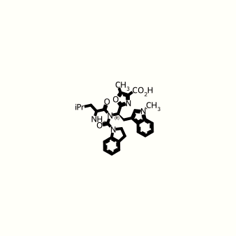 Cc1oc([C@@H](Cc2cn(C)c3ccccc23)N(C(=O)C(N)CC(C)C)C(=O)N2CCc3ccccc32)nc1C(=O)O